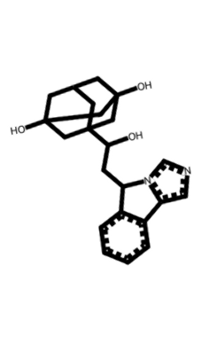 OC(CC1c2ccccc2-c2cncn21)C12CC3CC(O)(CC(O)(C3)C1)C2